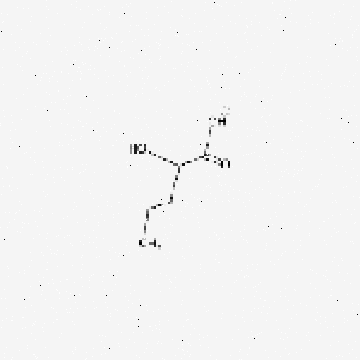 CCCC(O)C(=O)O.[C]